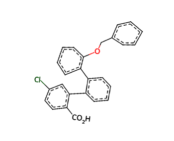 O=C(O)c1ccc(Cl)cc1-c1ccccc1-c1ccccc1OCc1ccccc1